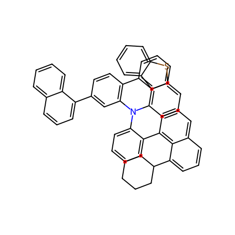 c1ccc(-c2ccc(-c3cccc4ccccc34)cc2N(c2ccccc2-c2cccc3cccc(C4CCCCC4)c23)c2cccc3sc4ccccc4c23)cc1